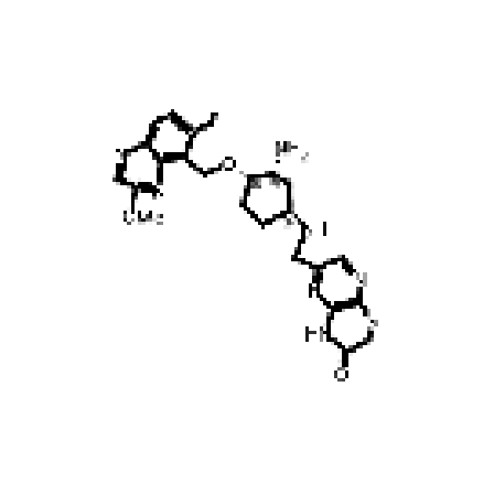 COc1cnc2ccc(F)c(CO[C@H]3CC[C@H](NCc4cnc5c(n4)NC(=O)CS5)C[C@H]3N)c2n1